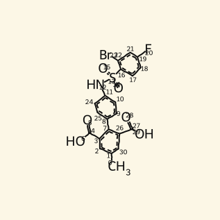 Cc1cc(C(=O)O)c(-c2ccc(NS(=O)(=O)c3ccc(F)cc3Br)cc2)c(C(=O)O)c1